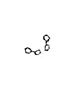 c1ccc(-c2ccc(Nc3ccc4sc5ccccc5c4c3)cc2)cc1